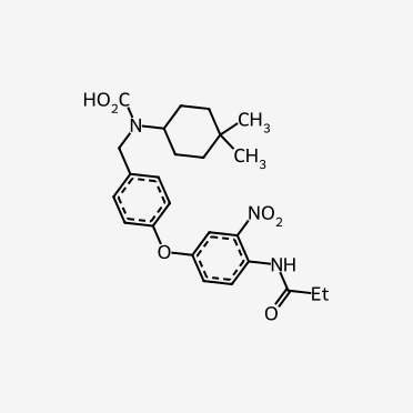 CCC(=O)Nc1ccc(Oc2ccc(CN(C(=O)O)C3CCC(C)(C)CC3)cc2)cc1[N+](=O)[O-]